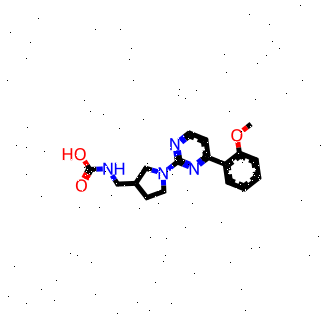 COc1ccccc1-c1ccnc(N2CCC(CNC(=O)O)C2)n1